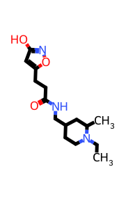 CCN1CCC(CNC(=O)CCc2cc(O)no2)CC1C